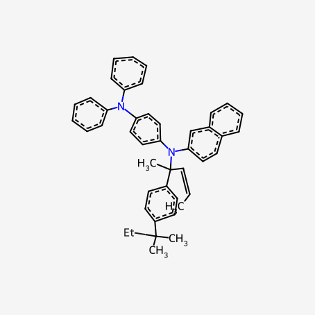 C/C=C\C(C)(c1ccc(C(C)(C)CC)cc1)N(c1ccc(N(c2ccccc2)c2ccccc2)cc1)c1ccc2ccccc2c1